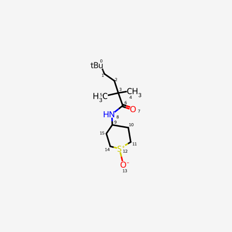 CC(C)(C)CCC(C)(C)C(=O)NC1CC[S+]([O-])CC1